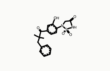 CC(C)(Cc1ccccc1)C(=O)c1ccc(N2CC(=O)NS2(=O)=O)c(O)c1